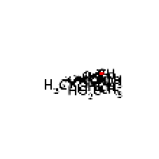 CC(=O)O.CC1(C)C2CCC1(C)C(O)C2.CCCCC(=O)O